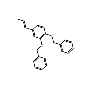 [CH2]/C=C/c1ccc(OCc2ccccc2)c(OCc2ccccc2)c1